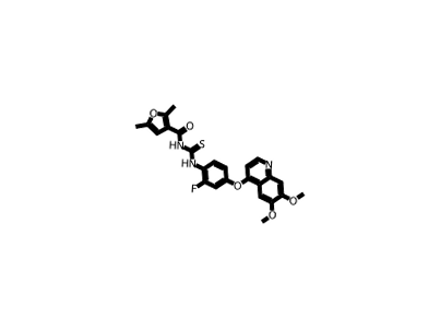 COc1cc2nccc(Oc3ccc(NC(=S)NC(=O)c4cc(C)oc4C)c(F)c3)c2cc1OC